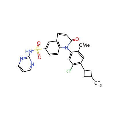 COc1cc(C2CC(C(F)(F)F)C2)c(Cl)cc1-n1c(=O)ccc2cc(S(=O)(=O)Nc3ncccn3)ccc21